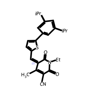 CCN1C(=O)C(C#N)=C(C)/C(=C/c2ccc(-c3cc(C(C)C)cc(C(C)C)c3)s2)C1=O